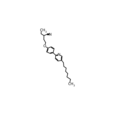 CCCCCCCCc1ccc(-c2ccc(OCCC(C#N)CC)cc2)nc1